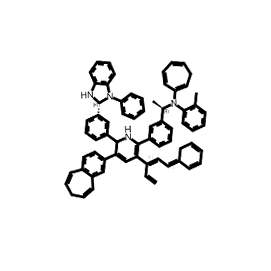 C=C/C(=C\C=C1\C=CC=CC1)C1=C(c2cccc([C@@H](C)N(C3=CCC=CC=C3)c3ccccc3C)c2)NC(c2cccc([C@@H]3Nc4ccccc4N3c3ccccc3)c2)C(c2ccc3c(c2)C=CCC=C3)=C1